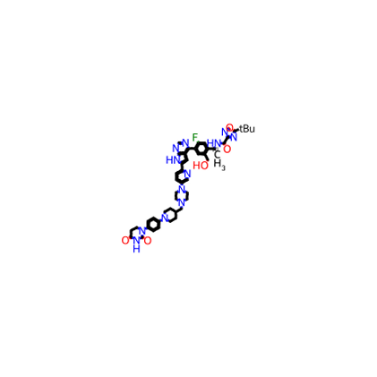 C[C@@H](NC(=O)c1noc(C(C)(C)C)n1)c1cc(F)c(-c2ncnc3[nH]c(-c4ccc(N5CCN(CC6CCN(c7ccc(N8CCC(=O)NC8=O)cc7)CC6)CC5)cn4)cc23)cc1CO